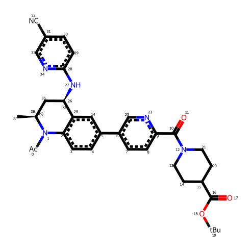 CC(=O)N1c2ccc(-c3ccc(C(=O)N4CCC(C(=O)OC(C)(C)C)CC4)nc3)cc2[C@H](Nc2ccc(C#N)cn2)C[C@@H]1C